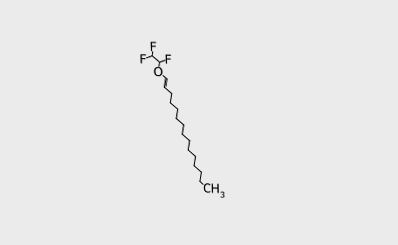 CCCCCCCCCCCCCC=COC(F)C(F)F